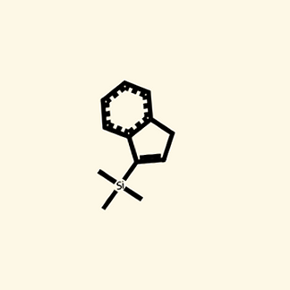 C[Si](C)(C)C1=CCc2ccccc21